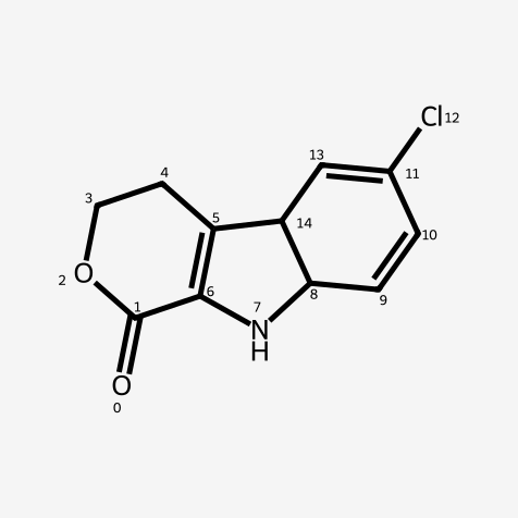 O=C1OCCC2=C1NC1C=CC(Cl)=CC21